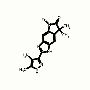 CCN1C(=O)C(C)(C)c2cc3[nH]c(-c4n[nH]c(C)c4N)nc3cc21